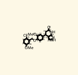 COc1ccc(C(F)(F)F)c(COc2ccc(C3CC(=O)Nc4n[nH]cc43)cc2OC)c1